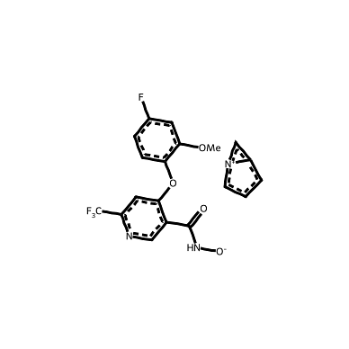 COc1cc(F)ccc1Oc1cc(C(F)(F)F)ncc1C(=O)N[O-].c1cc2c[n+]-2c1